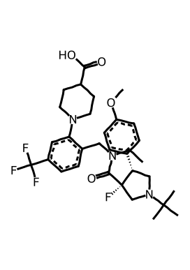 CCN(Cc1ccc(C(F)(F)F)cc1N1CCC(C(=O)O)CC1)C(=O)[C@]1(F)CN(C(C)(C)C)C[C@H]1c1ccc(OC)cc1